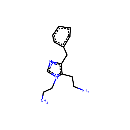 NCCc1c(Cc2ccccc2)ncn1CCN